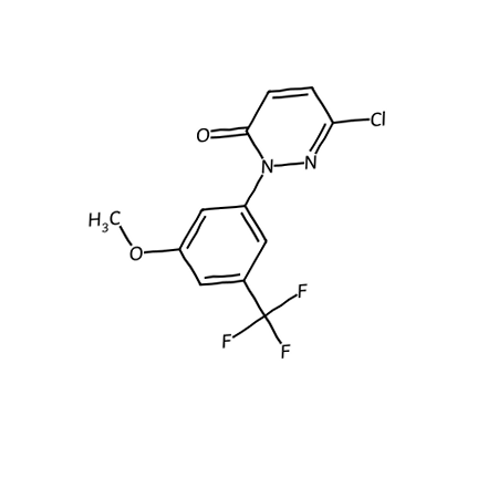 COc1cc(-n2nc(Cl)ccc2=O)cc(C(F)(F)F)c1